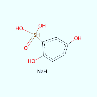 O=[SH](O)(O)c1cc(O)ccc1O.[NaH]